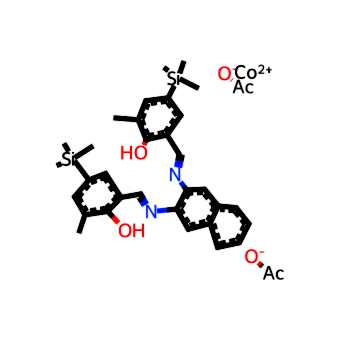 CC(=O)[O-].CC(=O)[O-].Cc1cc([Si](C)(C)C)cc(C=Nc2cc3ccccc3cc2N=Cc2cc([Si](C)(C)C)cc(C)c2O)c1O.[Co+2]